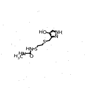 CNC(=O)NSCCSCc1n[nH]cc1O